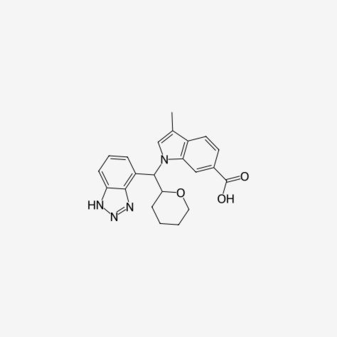 Cc1cn(C(c2cccc3[nH]nnc23)C2CCCCO2)c2cc(C(=O)O)ccc12